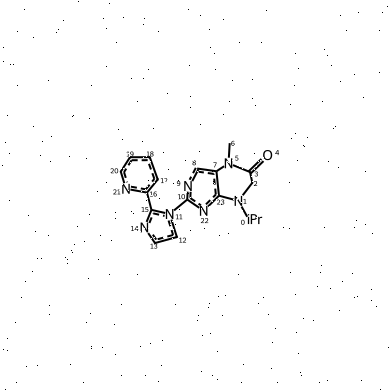 CC(C)N1CC(=O)N(C)c2cnc(-n3ccnc3-c3ccccn3)nc21